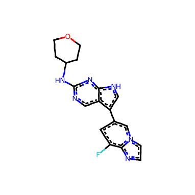 Fc1cc(-c2c[nH]c3nc(NC4CCOCC4)ncc23)cn2ccnc12